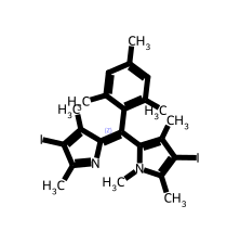 CC1=N/C(=C(/c2c(C)cc(C)cc2C)c2c(C)c(I)c(C)n2C)C(C)=C1I